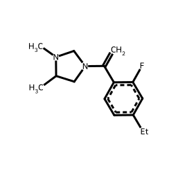 C=C(c1ccc(CC)cc1F)N1CC(C)N(C)C1